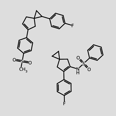 CS(=O)(=O)c1ccc(C2=CCC3(C2)CC3c2ccc(F)cc2)cc1.O=S(=O)(NC1=C(c2ccc(F)cc2)CC2(CC2)C1)c1ccccc1